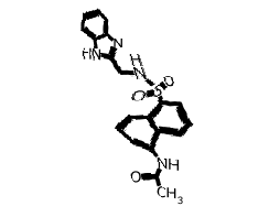 CC(=O)Nc1cccc2c(S(=O)(=O)NCc3nc4ccccc4[nH]3)cccc12